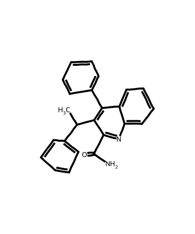 CC(c1ccccc1)c1c(C(N)=O)nc2ccccc2c1-c1ccccc1